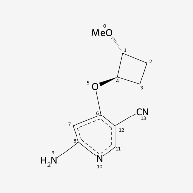 CO[C@@H]1CC[C@H]1Oc1cc(N)ncc1C#N